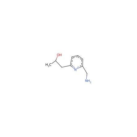 CC(O)Cc1cccc(CN)n1